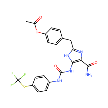 CC(=O)Oc1ccc(Cc2nc(C(N)=O)c(NC(=O)Nc3ccc(SC(F)(F)F)cc3)[nH]2)cc1